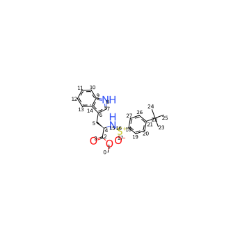 COC(=O)[C@@H](Cc1c[nH]c2ccccc12)N[S+]([O-])c1ccc(C(C)(C)C)cc1